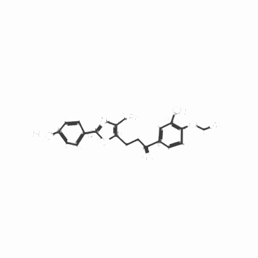 CC(=O)COc1ccc(C(=O)CCc2sc(-c3ccc(C)cc3)nc2C(C)C)cc1C